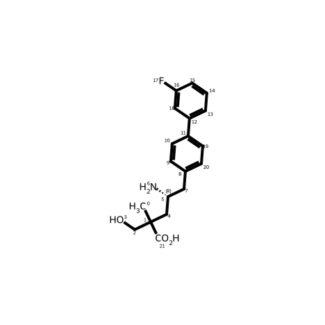 CC(CO)(C[C@H](N)Cc1ccc(-c2cccc(F)c2)cc1)C(=O)O